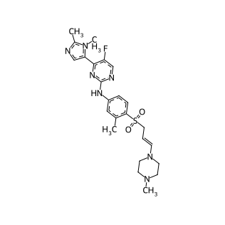 Cc1cc(Nc2ncc(F)c(-c3cnc(C)n3C)n2)ccc1S(=O)(=O)CC=CN1CCN(C)CC1